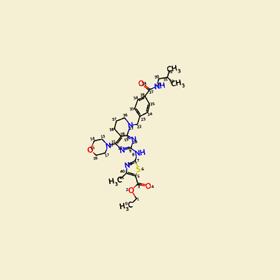 CCOC(=O)c1sc(Nc2nc(N3CCOCC3)c3c(n2)N(Cc2ccc(C(=O)NCC(C)C)cc2)CCC3)nc1C